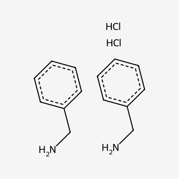 Cl.Cl.NCc1ccccc1.NCc1ccccc1